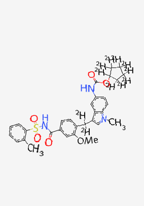 [2H]C([2H])(c1ccc(C(=O)NS(=O)(=O)c2ccccc2C)cc1OC)c1cn(C)c2ccc(NC(=O)OC3([2H])C([2H])([2H])C([2H])([2H])C([2H])([2H])C3([2H])[2H])cc12